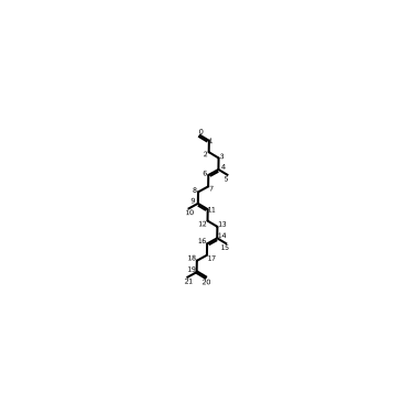 C=CCCC(C)=CCCC(C)=CCCC(C)=CCCC(=C)C